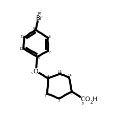 O=C(O)C1CCC(Oc2ccc(Br)cc2)CC1